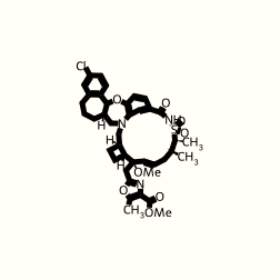 COC(=O)c1nc(C[C@]2(OC)/C=C/C[C@H](C)[C@@H](C)S(=O)(=O)NC(=O)c3ccc4c(c3)N(C[C@H]3CCCc5cc(Cl)ccc5C3O4)C[C@@H]3CC[C@H]32)oc1C